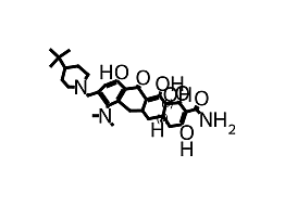 CN(C)c1c(CN2CCC(C(C)(C)C)CC2)cc(O)c2c1CC1C[C@H]3CC(O)=C(C(N)=O)C(=O)[C@@]3(O)C(O)=C1C2=O